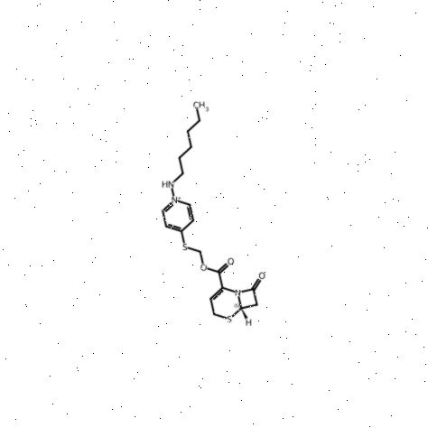 CCCCCCN[n+]1ccc(SCOC(=O)C2=CCS[C@H]3CC(=O)N23)cc1